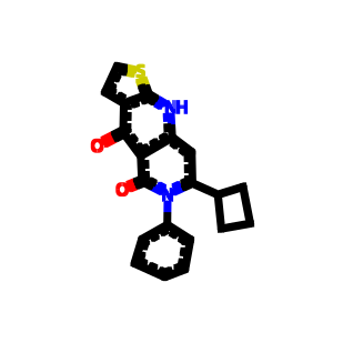 O=c1c2ccsc2[nH]c2cc(C3CCC3)n(-c3ccccc3)c(=O)c12